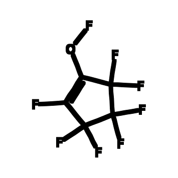 FOC1=C(F)C(F)(F)C(F)(F)C1(F)F